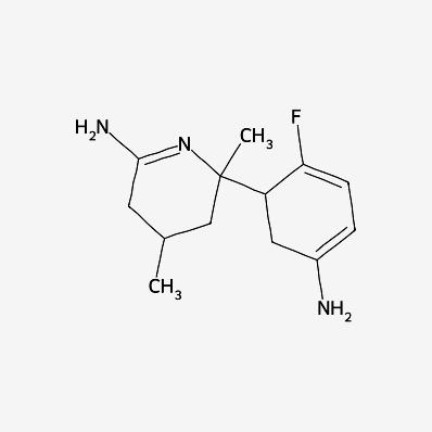 CC1CC(N)=NC(C)(C2CC(N)=CC=C2F)C1